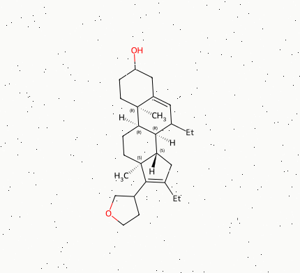 CCC1=C(C2CCOC2)[C@@]2(C)CC[C@@H]3[C@@H](C(CC)C=C4CC(O)CC[C@@]43C)[C@@H]2C1